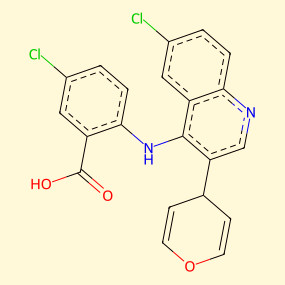 O=C(O)c1cc(Cl)ccc1Nc1c(C2C=COC=C2)cnc2ccc(Cl)cc12